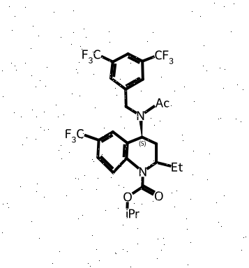 CCC1C[C@H](N(Cc2cc(C(F)(F)F)cc(C(F)(F)F)c2)C(C)=O)c2cc(C(F)(F)F)ccc2N1C(=O)OC(C)C